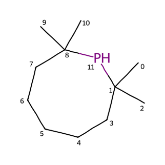 CC1(C)CCCCCC(C)(C)P1